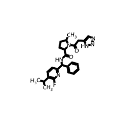 CC(C)c1ccc(C(NC(=O)C2CCC(C)N2C(=O)Cc2cnn[nH]2)c2ccccc2)nc1F